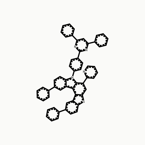 c1ccc(-c2ccc3sc4cc(-c5ccccn5)c5c(c6cc(-c7ccccc7)ccc6n5-c5ccc(-c6nc(-c7ccccc7)cc(-c7ccccc7)n6)cc5)c4c3c2)cc1